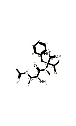 CC(=O)O[C@H](C)[C@H](N)C(=O)N(C)[C@](Cc1ccccc1)(C(=O)O)C(C)C